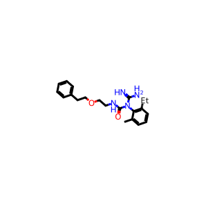 CCc1cccc(C)c1N(C(=N)N)C(=O)NCCOCCc1ccccc1